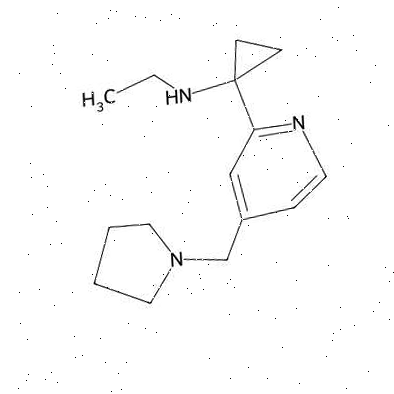 CCNC1(c2cc(CN3CCCC3)ccn2)CC1